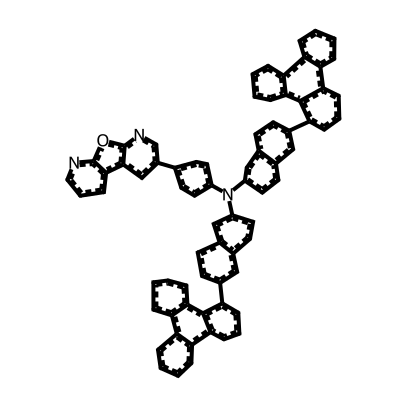 c1cnc2oc3ncc(-c4ccc(N(c5ccc6cc(-c7cccc8c9ccccc9c9ccccc9c78)ccc6c5)c5ccc6cc(-c7cccc8c9ccccc9c9ccccc9c78)ccc6c5)cc4)cc3c2c1